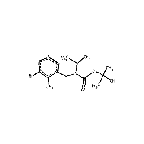 Cc1c(Br)cncc1CN(C(=O)OC(C)(C)C)C(C)C